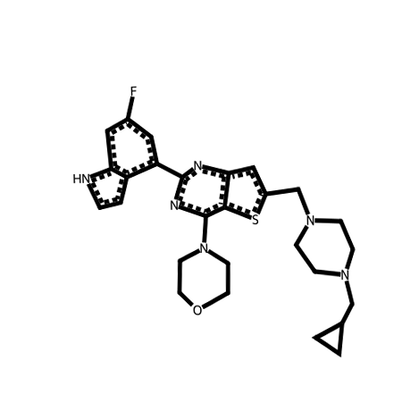 Fc1cc(-c2nc(N3CCOCC3)c3sc(CN4CCN(CC5CC5)CC4)cc3n2)c2cc[nH]c2c1